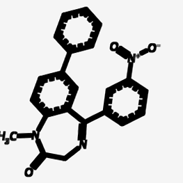 CN1C(=O)CN=C(c2cccc([N+](=O)[O-])c2)c2cc(-c3ccccc3)ccc21